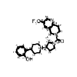 C[C@H]1[C@H](N2CCC(c3ccccc3O)CC2)CCN1C(=O)N1CCc2ncc(C(F)(F)F)cc2C1